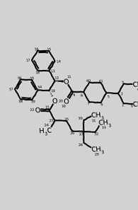 CCC(CC)C1CCC(C(=O)O[C@H](c2ccccc2)[C@H](OC(=O)C(C)CCC(CC)(CC)CC)c2ccccc2)CC1